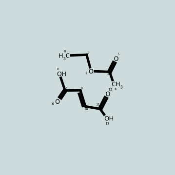 CCOC(C)=O.O=C(O)/C=C/C(=O)O